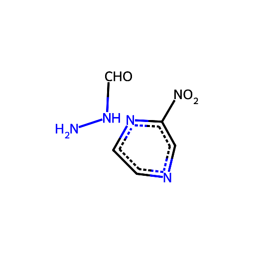 NNC=O.O=[N+]([O-])c1cnccn1